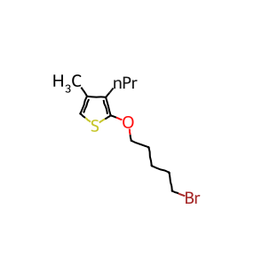 CCCc1c(C)csc1OCCCCCBr